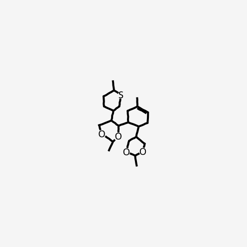 CC1=CCC(C2COC(C)OC2)C(C2OC(C)OCC2C2CCC(C)SC2)C1